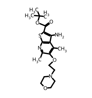 Cc1nc2sc(C(=O)OC(C)(C)C)c(N)c2c(C)c1OCCN1CCOCC1